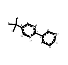 CC(C)(C)c1cnc(-c2cccnc2)nc1